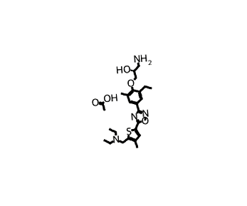 CC(=O)O.CCc1cc(-c2noc(-c3cc(C)c(CN(CC)CC)s3)n2)cc(C)c1OC[C@@H](O)CN